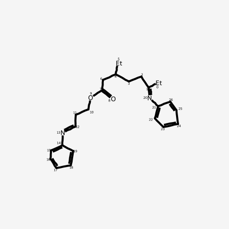 CCC(CCC(CC)CC(=O)OCCC=Nc1ccccc1)=Nc1ccccc1